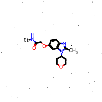 CCNC(=O)COc1ccc2nc(C)n(C3CCOCC3)c2c1